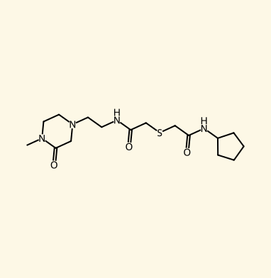 CN1CCN(CCNC(=O)CSCC(=O)NC2CCCC2)CC1=O